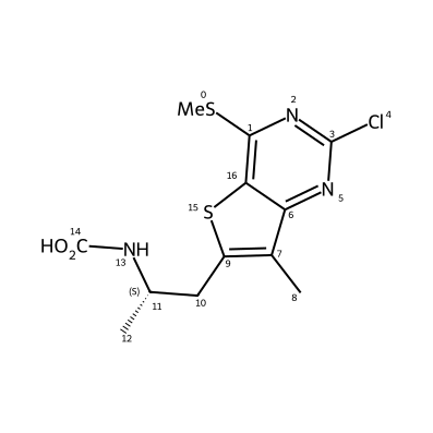 CSc1nc(Cl)nc2c(C)c(C[C@H](C)NC(=O)O)sc12